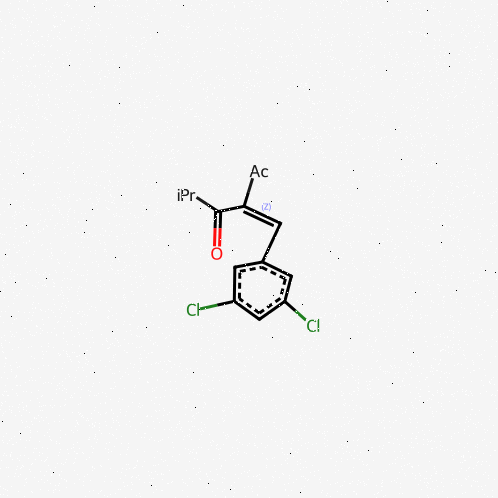 CC(=O)/C(=C/c1cc(Cl)cc(Cl)c1)C(=O)C(C)C